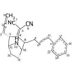 C=C=C[C@@H]1C(=C(C#N)C#N)C(C/C=C/c2ccccc2)C2CCC1N2